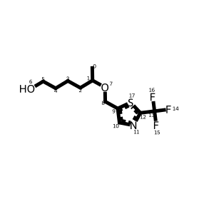 CC(CCCCO)OCc1cnc(C(F)(F)F)s1